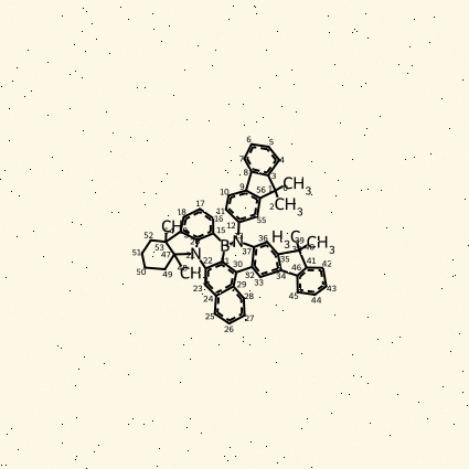 CC1(C)c2ccccc2-c2ccc(N3B4c5cccc6c5N(c5cc7ccccc7c(c54)-c4cc5c(cc43)C(C)(C)c3ccccc3-5)C3(C)CCCCC63C)cc21